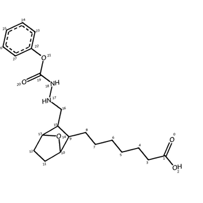 O=C(O)CCCCCCC1C2CCC(O2)C1CNNC(=O)Oc1ccccc1